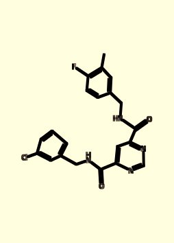 Cc1cc(CNC(=O)c2cc(C(=O)NCc3cccc(Cl)c3)ncn2)ccc1F